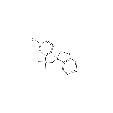 C[Si](C)(C)C[Si](CI)(c1ccc(Cl)cc1)c1ccc(Cl)cc1